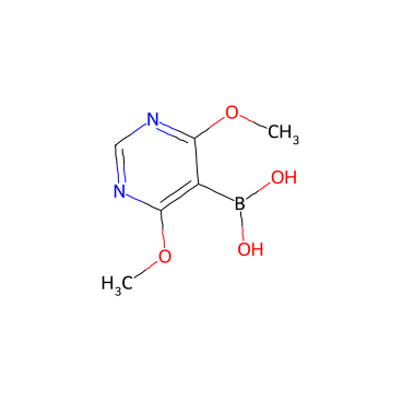 COc1ncnc(OC)c1B(O)O